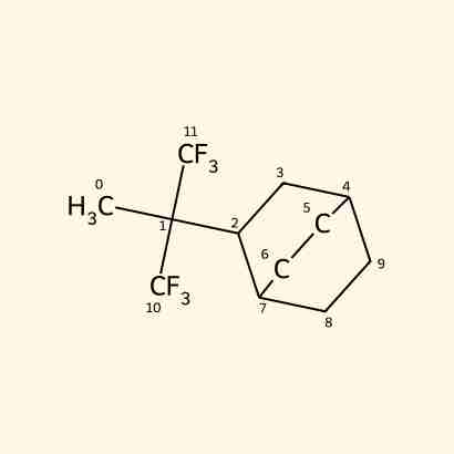 CC(C1CC2CCC1CC2)(C(F)(F)F)C(F)(F)F